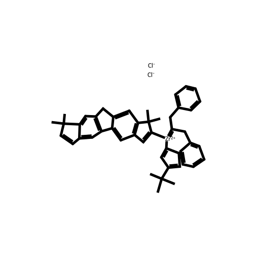 CC(C)(C)C1=CC[C]([Zr+2]([C]2=Cc3cc4c(cc3C2(C)C)Cc2cc3c(cc2-4)C=CC3(C)C)=[C](Cc2ccccc2)Cc2ccccc2)=C1.[Cl-].[Cl-]